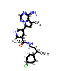 COc1ncc(-c2cc(C(F)(F)F)c3c(N)ncnn23)cc1C(=O)NCCC(OC)c1ccc(Cl)cc1